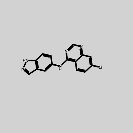 Clc1ccc2c(Nc3ccc4[nH]ncc4c3)ncnc2c1